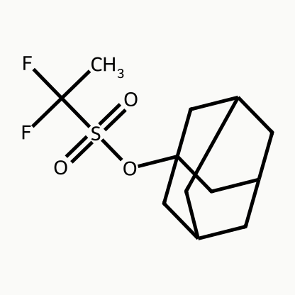 CC(F)(F)S(=O)(=O)OC12CC3CC(CC(C3)C1)C2